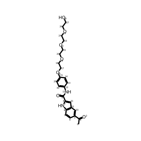 CC(=O)c1ccc2[nH]c(C(=O)Nc3ccc(OCCOCCOCCOCCO)cc3)cc2c1